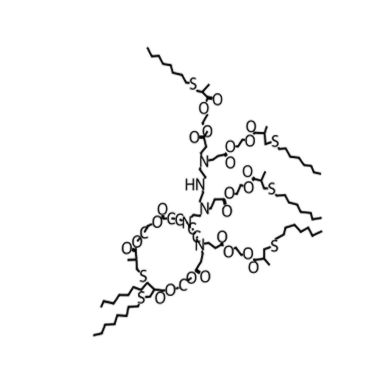 CCCCCCCCSCC(C)C(=O)OCCOC(=O)CCN(CCNCCN(CCC(=O)OCCOC(=O)C(C)CSCCCCCCCC)CCN1CCC(=O)OCCOC(=O)C(C)CSC(CCCCCCC)C(CSCCCCCCCC)C(=O)OCCOC(=O)CCN(CCC(=O)OCCOC(=O)C(C)CSCCCCCCCC)CC1)CCC(=O)OCCOC(=O)C(C)CSCCCCCCCC